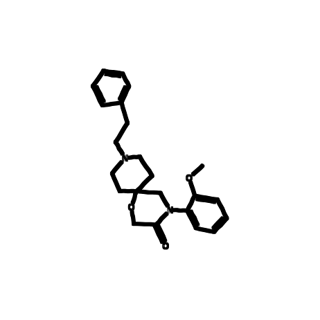 COc1ccccc1N1CC2(CCN(CCc3ccccc3)CC2)OCC1=O